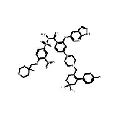 [CH2]N(C(=O)c1ccc(N2CCN(CC3=C(c4ccc(Cl)cc4)CC(C)(C)CC3)CC2)cc1Oc1cnc2[nH]ccc2c1)S(=O)(=O)c1ccc(OCC2(F)CCOCC2)c([N+](=O)[O-])c1